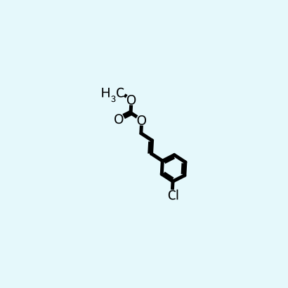 COC(=O)OCC=Cc1cccc(Cl)c1